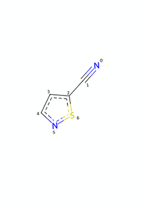 N#Cc1ccns1